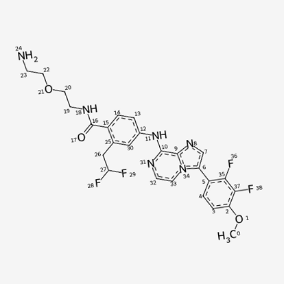 COc1ccc(-c2cnc3c(Nc4ccc(C(=O)NCCOCCN)c(CC(F)F)c4)nccn23)c(F)c1F